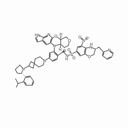 CC(C)c1ccccc1[C@@H]1CCCN1C1CC2(CCN(c3ccc(C(=O)NS(=O)(=O)c4cc5c(c([N+](=O)[O-])c4)N[C@@H](Cc4ccccn4)CO5)c(N4c5cc6cc[nH]c6nc5O[C@@H]5COCC[C@@H]54)c3)CC2)C1